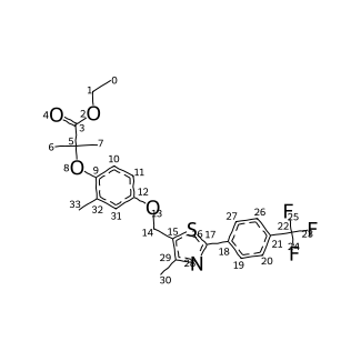 CCOC(=O)C(C)(C)Oc1ccc(OCc2sc(-c3ccc(C(F)(F)F)cc3)nc2C)cc1C